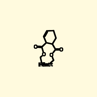 CCCC(C)COC(=O)C1C=CCCC1C(=O)OCC(C)CCC